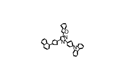 c1ccc2oc(-c3cc(-c4ccc(-c5cccc6ccccc56)cc4)nc(-c4ccc(-n5c6ccccc6c6ccccc65)cc4)n3)cc2c1